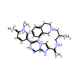 C=C(NCC(C)CN1CCc2ccccc2C1)c1cn2cc(C3=CN(C)C(=C)C=C3)ncc2n1